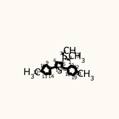 CCP(CC)c1cc(-c2ccc(C)cc2)sc1-c1ccc(C)cc1